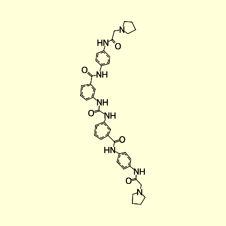 O=C(CN1CCCC1)Nc1ccc(NC(=O)c2cccc(NC(=O)Nc3cccc(C(=O)Nc4ccc(NC(=O)CN5CCCC5)cc4)c3)c2)cc1